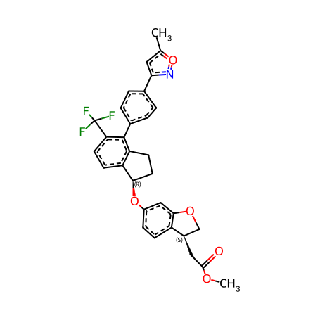 COC(=O)C[C@@H]1COc2cc(O[C@@H]3CCc4c3ccc(C(F)(F)F)c4-c3ccc(-c4cc(C)on4)cc3)ccc21